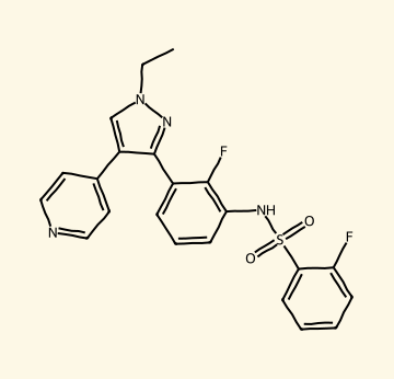 CCn1cc(-c2ccncc2)c(-c2cccc(NS(=O)(=O)c3ccccc3F)c2F)n1